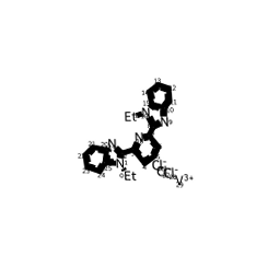 CCn1c(-c2cccc(-c3nc4ccccc4n3CC)n2)nc2ccccc21.[Cl-].[Cl-].[Cl-].[V+3]